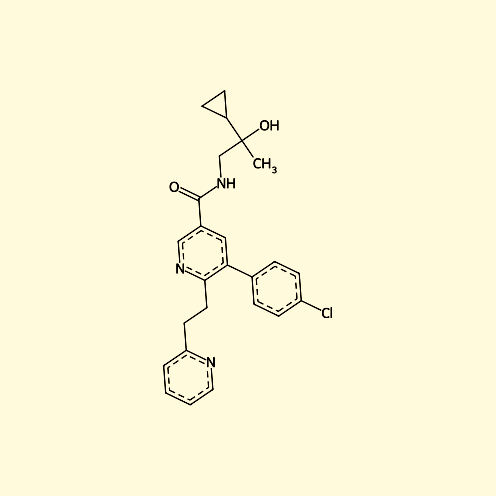 CC(O)(CNC(=O)c1cnc(CCc2ccccn2)c(-c2ccc(Cl)cc2)c1)C1CC1